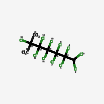 Cl[C](Cl)C(Cl)(Cl)C(Cl)(Cl)C(Cl)(Cl)C(Cl)(Cl)C(Cl)(C(Cl)(Cl)Cl)C(Cl)(Cl)Cl